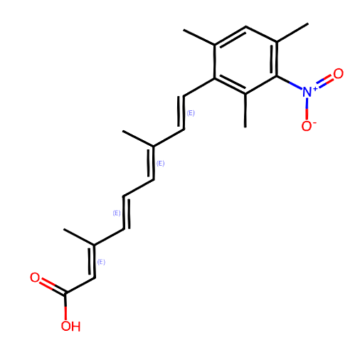 CC(/C=C/c1c(C)cc(C)c([N+](=O)[O-])c1C)=C\C=C\C(C)=C\C(=O)O